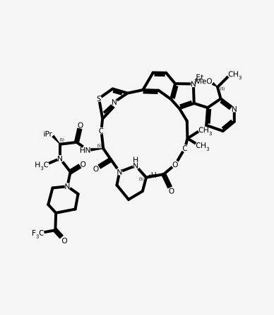 CCn1c(-c2cccnc2[C@H](C)OC)c2c3cc(ccc31)-c1csc(n1)C[C@H](NC(=O)[C@H](C(C)C)N(C)C(=O)N1CCC(C(=O)C(F)(F)F)CC1)C(=O)N1CCC[C@H](N1)C(=O)OCC(C)(C)C2